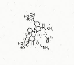 CCN(CC)CCCC(C)Nc1ccnc2cc(Cl)ccc12.CCOC(=O)C1=C(COCCN)NC(C)=C(C(=O)OC)C1c1ccccc1Cl.O=P(O)(O)O.O=P(O)(O)O